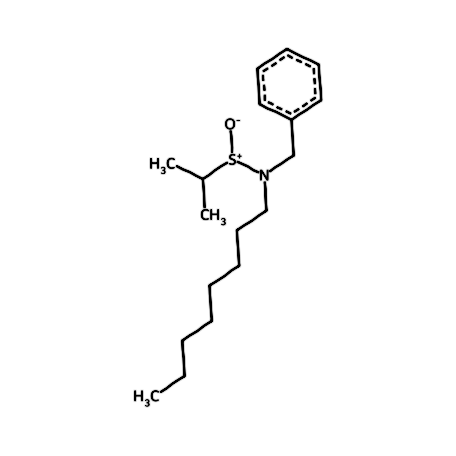 CCCCCCCCN(Cc1ccccc1)[S+]([O-])C(C)C